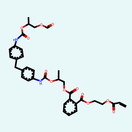 C=CC(=O)OCCOC(=O)c1ccccc1C(=O)OCC(C)OC(=O)Nc1ccc(Cc2ccc(NC(=O)OC(C)COC=O)cc2)cc1